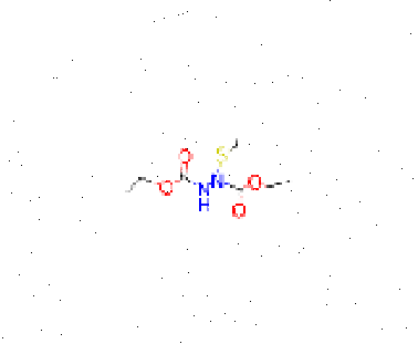 CCOC(=O)NN(SCC)C(=O)OCC